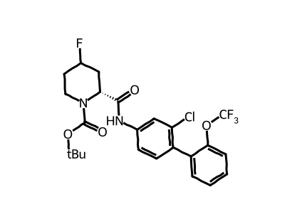 CC(C)(C)OC(=O)N1CCC(F)C[C@@H]1C(=O)Nc1ccc(-c2ccccc2OC(F)(F)F)c(Cl)c1